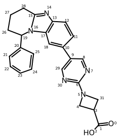 O=C(O)C1CN(c2ncc(-c3ccc4nc5n(c4c3)C(c3ccccc3)CCC5)cn2)C1